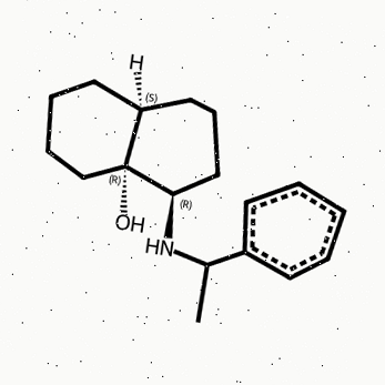 CC(N[C@@H]1CCC[C@@H]2CCCC[C@@]21O)c1ccccc1